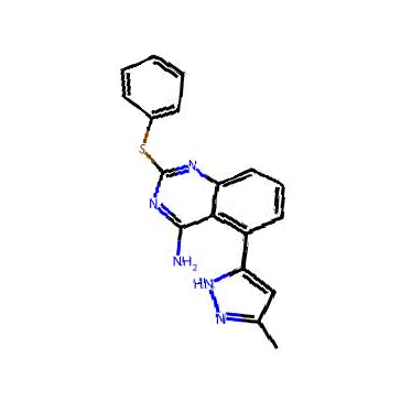 Cc1cc(-c2cccc3nc(Sc4ccccc4)nc(N)c23)[nH]n1